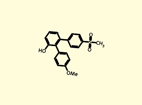 COc1ccc(-c2c(-c3ccc(S(C)(=O)=O)cc3)[c]ccc2O)cc1